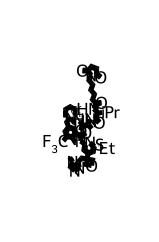 CCSc1cc(C2(Cc3nncn3C)COC2)cc(N2Cc3c(cc(C[N+]4(CNC(=O)C(C)NC(=O)C(NC(=O)CCCCCN5C(=O)C=CC5=O)C(C)C)CCC[C@H](C)C4)cc3C(F)(F)F)C2=O)n1